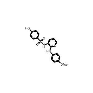 COc1ccc(Nc2ncccc2NS(=O)(=O)c2ccc(O)cc2)cc1